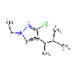 CCn1cc(C(C)C(C)C)c(Cl)n1